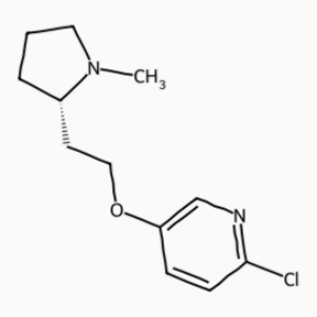 CN1CCC[C@H]1CCOc1ccc(Cl)nc1